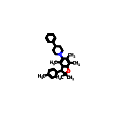 Cc1ccc(C2c3c(C)c(N4CCC(c5ccccc5)CC4)c(C)c(C)c3OC2(C)C)cc1